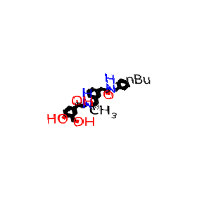 CCCCc1ccc(CNC(=O)Cc2cccc(C[C@@H](C)NC[C@H](O)c3ccc(O)c(CO)c3)c2)cc1